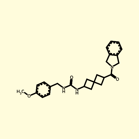 COc1ccc(CNC(=O)NC2CC3(C2)CC(C(=O)N2Cc4ccccc4C2)C3)cc1